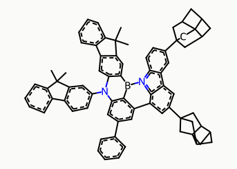 CC1(C)c2ccccc2-c2ccc(N3c4cc5c(cc4B4c6c(cc(-c7ccccc7)cc63)-c3cc(C67CC8CC9CC8(C6)C9C7)cc6c7cc(C89CC%10CC%11CC(C8)C%11%10C9)ccc7n4c36)C(C)(C)c3ccccc3-5)cc21